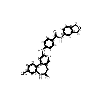 O=C1Cc2cnc(Nc3ccc(C(=O)Nc4ccc5c(c4)COC5)cc3)nc2-c2ccc(Cl)cc2N1